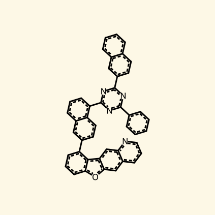 c1ccc(-c2nc(-c3ccc4ccccc4c3)nc(-c3cccc4cc(-c5cccc6oc7cc8cccnc8cc7c56)ccc34)n2)cc1